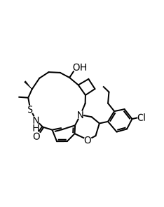 CCCc1cc(Cl)ccc1C1COc2ccc3cc2N(C1)CC1CCC1C(O)CCC[C@H](C)C(C)SNC3=O